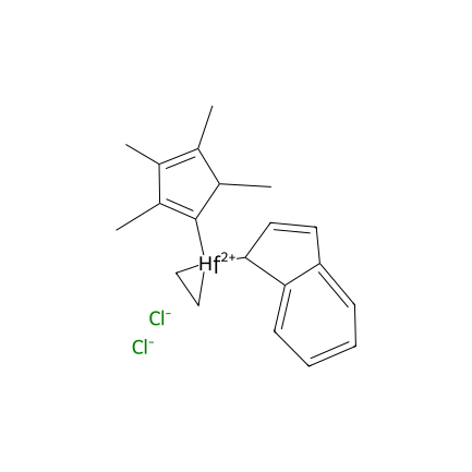 CC1=C(C)C(C)[C]([Hf+2]2([CH]3C=Cc4ccccc43)[CH2][CH2]2)=C1C.[Cl-].[Cl-]